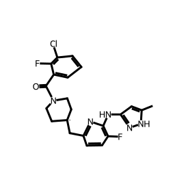 Cc1cc(Nc2nc(C[C]3CCN(C(=O)c4cccc(Cl)c4F)CC3)ccc2F)n[nH]1